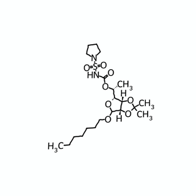 CCCCCCCOC1O[C@H]([C@@H](C)OC(=O)NS(=O)(=O)N2CCCC2)[C@@H]2OC(C)(C)O[C@H]12